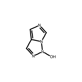 On1ncc2cncn21